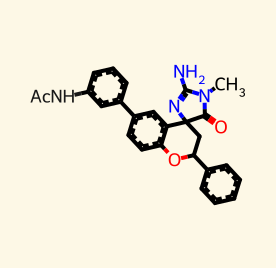 CC(=O)Nc1cccc(-c2ccc3c(c2)C2(CC(c4ccccc4)O3)N=C(N)N(C)C2=O)c1